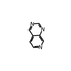 [c]1ncnc2cnccc12